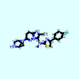 CCc1nc2ccc(N3CC4CC3CN4)nn2c1N(C)c1nc(-c2ccc(F)cc2)cs1